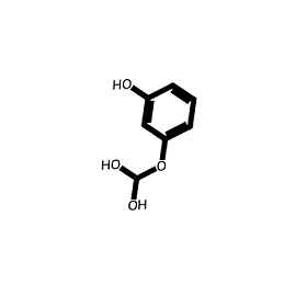 Oc1cccc(OC(O)O)c1